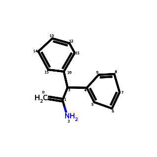 C=C(N)C(c1ccccc1)c1ccccc1